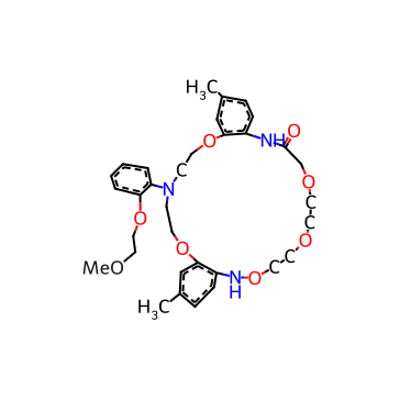 COCCOc1ccccc1N1CCOc2cc(C)ccc2NOCCOCCOCC(=O)Nc2ccc(C)cc2OCC1